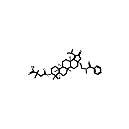 CC(C)C1=C2[C@H]3CC[C@@H]4[C@@]5(C)CC[C@H](OC(=O)CC(C)(C)C(=O)O)C(C)(C)[C@@H]5CC[C@@]4(C)[C@]3(C)CC[C@@]2(CCN(C)C(=O)c2ccccc2)CC1=O